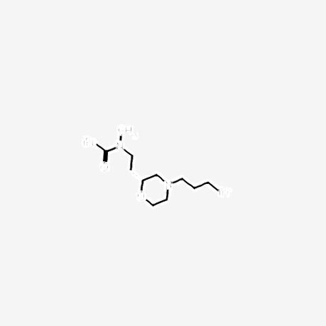 CC(C)CCCN1CCO[C@H](CCN(C)C(=O)C(C)C)C1